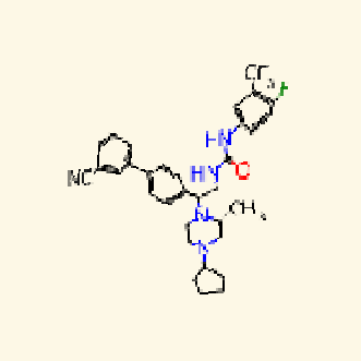 C[C@@H]1CN(C2CCCC2)CCN1[C@H](CNC(=O)Nc1ccc(F)c(C(F)(F)F)c1)c1ccc(-c2cccc(C#N)c2)cc1